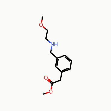 COCCNCc1cccc(CC(=O)OC)c1